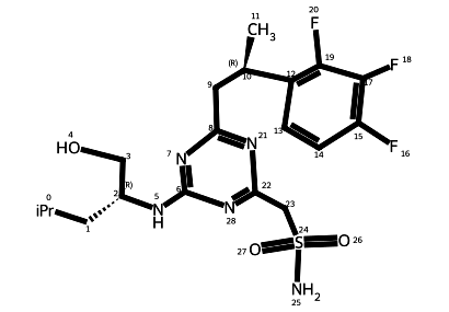 CC(C)C[C@H](CO)Nc1nc(C[C@@H](C)c2ccc(F)c(F)c2F)nc(CS(N)(=O)=O)n1